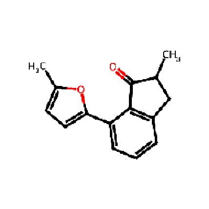 Cc1ccc(-c2cccc3c2C(=O)C(C)C3)o1